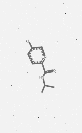 CC(C)NC(=O)c1ccc(Cl)cn1